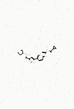 O=C(N[C@H]1CCOC1)c1cc(-c2ccc3nc(NC(=O)C4CC4)cn3c2)[nH]n1